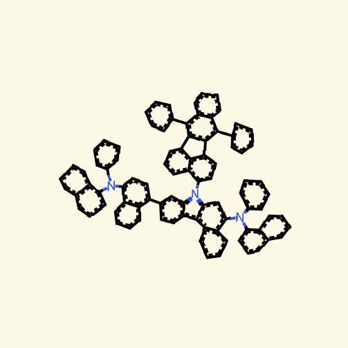 c1ccc(-c2c3c(c(-c4ccccc4)c4ccccc24)-c2ccc(-n4c5cc(-c6ccc(N(c7ccccc7)c7cccc8ccccc78)c7ccccc67)ccc5c5c6ccccc6c(N(c6ccccc6)c6cccc7ccccc67)cc54)c4cccc-3c24)cc1